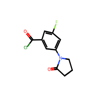 O=C(Cl)c1cc(F)cc(N2CCCC2=O)c1